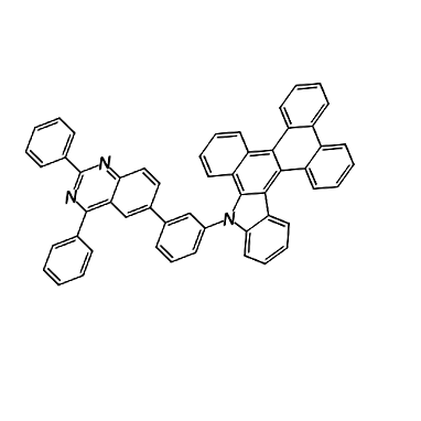 c1ccc(-c2nc(-c3ccccc3)c3cc(-c4cccc(-n5c6ccccc6c6c7c8ccccc8c8ccccc8c7c7ccccc7c65)c4)ccc3n2)cc1